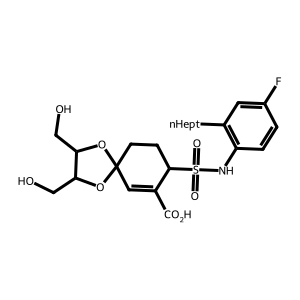 CCCCCCCc1cc(F)ccc1NS(=O)(=O)C1CCC2(C=C1C(=O)O)OC(CO)C(CO)O2